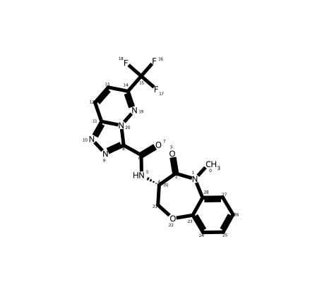 CN1C(=O)[C@@H](NC(=O)c2nnc3ccc(C(F)(F)F)nn23)COc2ccccc21